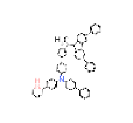 CC(C1=CC(c2ccc(N(C3=CCC(c4ccccc4)C=C3)c3ccc(C4BC=CC=C4)cc3)cc2)C=C1)C1c2ccc(-c3ccccc3)cc2-c2cc(-c3ccccc3)ccc21